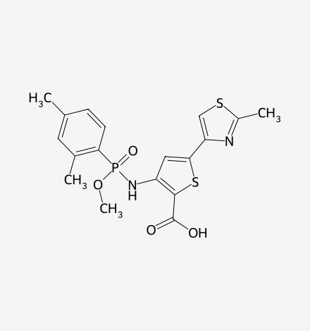 COP(=O)(Nc1cc(-c2csc(C)n2)sc1C(=O)O)c1ccc(C)cc1C